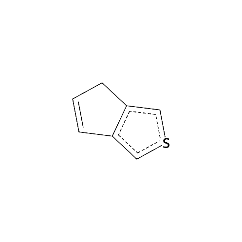 C1=Cc2cscc2C1